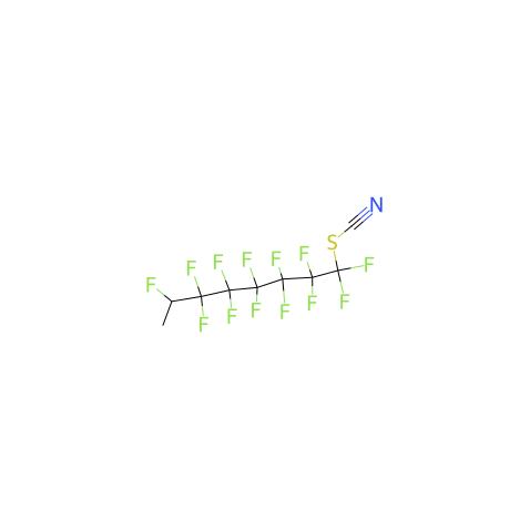 CC(F)C(F)(F)C(F)(F)C(F)(F)C(F)(F)C(F)(F)C(F)(F)SC#N